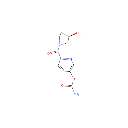 NC(=O)Oc1ccc(C(=O)N2CC[C@@H](O)C2)nc1